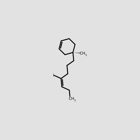 CC/C=C(/I)CCC[C@@]1(C)CC=CCC1